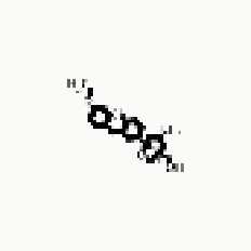 CCOc1ccc(Cc2cc([C@]34C[C@@H](C)C[C@](CO)(CO3)O4)ccc2Cl)cc1